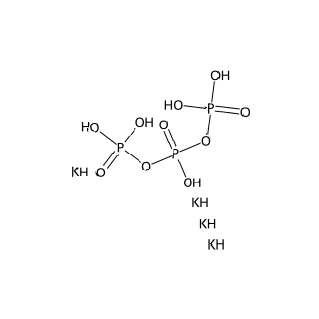 O=P(O)(O)OP(=O)(O)OP(=O)(O)O.[KH].[KH].[KH].[KH]